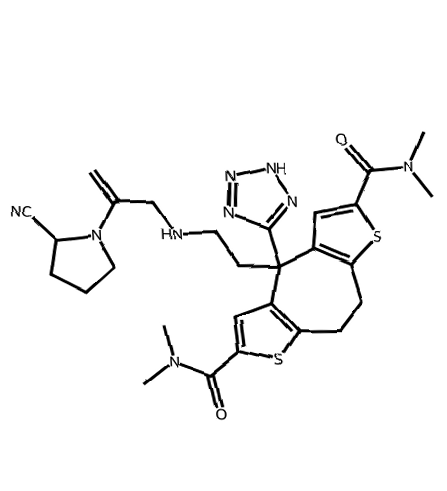 C=C(CNCCC1(c2nn[nH]n2)c2cc(C(=O)N(C)C)sc2CCc2sc(C(=O)N(C)C)cc21)N1CCCC1C#N